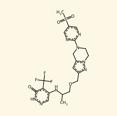 CC(COCc1cc2n(n1)CCN(c1ncc(S(C)(=O)=O)cn1)C2)Nc1cn[nH]c(=O)c1C(F)(F)F